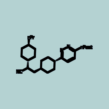 CCCCCc1ccc([C@H]2CC[C@H](CC(C#N)[C@H]3CC[C@H](CCC)CC3)CC2)nn1